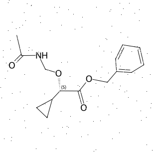 CC(=O)NCO[C@H](C(=O)OCc1ccccc1)C1CC1